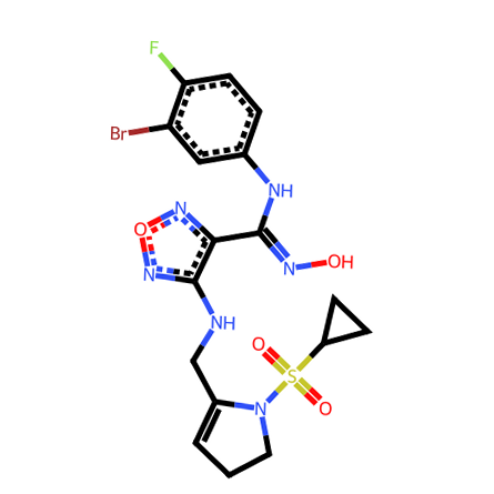 O=S(=O)(C1CC1)N1CCC=C1CNc1nonc1/C(=N/O)Nc1ccc(F)c(Br)c1